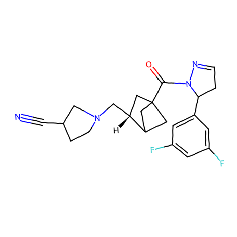 N#CC1CCN(C[C@@H]2CC3(C(=O)N4N=CCC4c4cc(F)cc(F)c4)CC2C3)C1